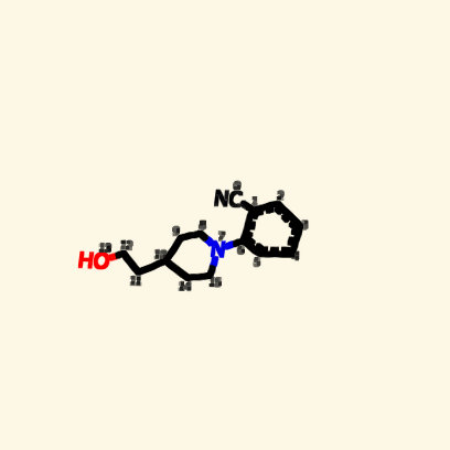 N#Cc1ccccc1N1CCC(CCO)CC1